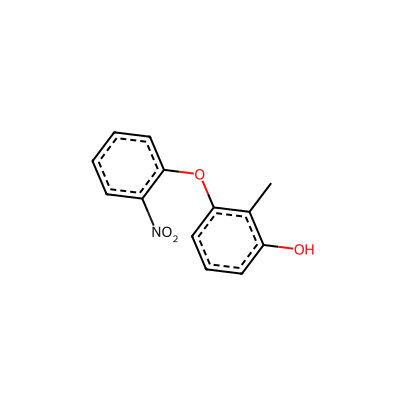 Cc1c(O)cccc1Oc1ccccc1[N+](=O)[O-]